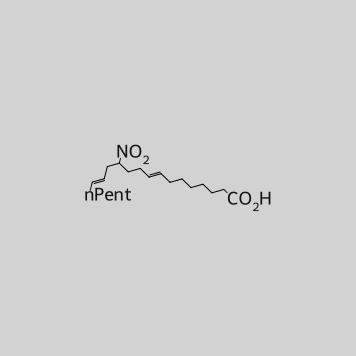 CCCCC/C=C/CC(CC/C=C/CCCCCCC(=O)O)[N+](=O)[O-]